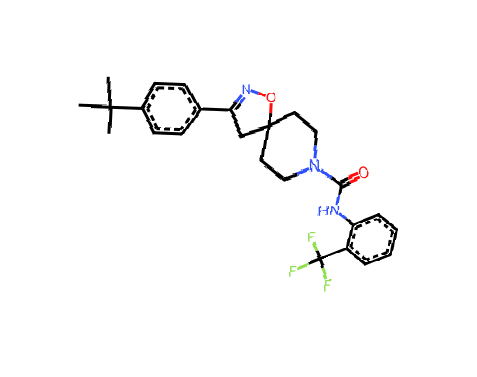 CC(C)(C)c1ccc(C2=NOC3(CCN(C(=O)Nc4ccccc4C(F)(F)F)CC3)C2)cc1